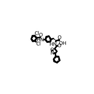 O=C(Nc1ccc(C[C@H](NC(=O)C2CC(c3ccccc3)=NO2)C(=O)O)cc1)c1c(Cl)cccc1Cl